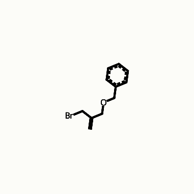 C=C(CBr)COCc1ccccc1